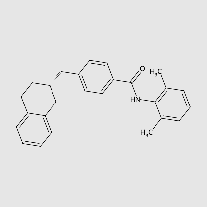 Cc1cccc(C)c1NC(=O)c1ccc(C[C@H]2CCc3ccccc3C2)cc1